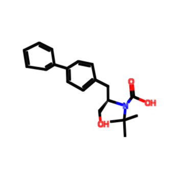 CC(C)(C)N(C(=O)O)[C@@H](CO)Cc1ccc(-c2ccccc2)cc1